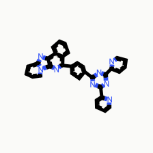 c1ccc(-c2nc(-c3ccc(-c4nc5c(nc6ccccn65)c5ccccc45)cc3)nc(-c3ccccn3)n2)nc1